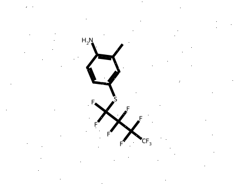 Cc1cc(SC(F)(F)C(F)(F)C(F)(F)C(F)(F)F)ccc1N